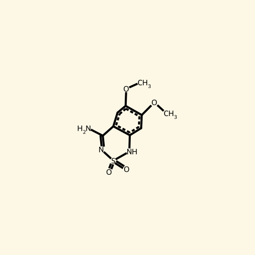 COc1cc2c(cc1OC)C(N)=NS(=O)(=O)N2